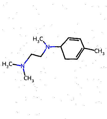 CC1=CCC(N(C)CCN(C)C)C=C1